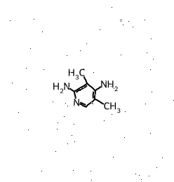 Cc1cnc(N)c(C)c1N